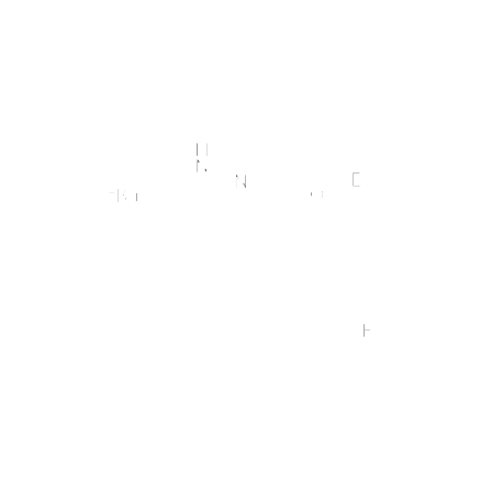 CCOc1cc(F)ccc1-c1cc(C(C)(C)C)[nH]n1